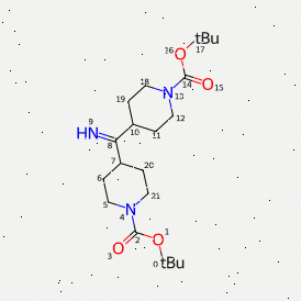 CC(C)(C)OC(=O)N1CCC(C(=N)C2CCN(C(=O)OC(C)(C)C)CC2)CC1